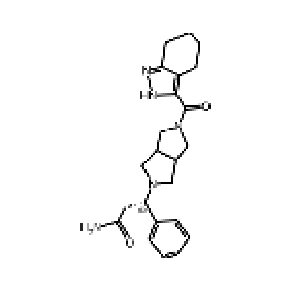 NC(=O)C[C@@H](c1ccccc1)N1CC2CN(C(=O)c3[nH]nc4c3CCCC4)CC2C1